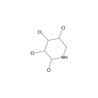 ClC1CNC(Cl)C(Cl)C1Cl